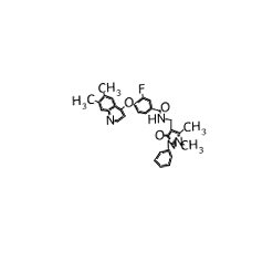 Cc1cc2nccc(Oc3ccc(C(=O)NCc4c(C)n(C)n(-c5ccccc5)c4=O)cc3F)c2cc1C